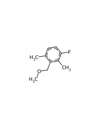 COCc1c(C)ccc(F)c1C